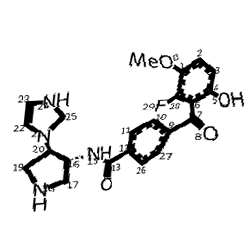 COc1ccc(O)c(C(=O)c2ccc(C(=O)N[C@@H]3CNC[C@H]3N3C=CNC3)cc2)c1F